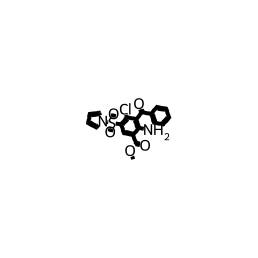 COC(=O)c1cc(S(=O)(=O)n2cccc2)c(Cl)c(C(=O)c2ccccc2)c1N